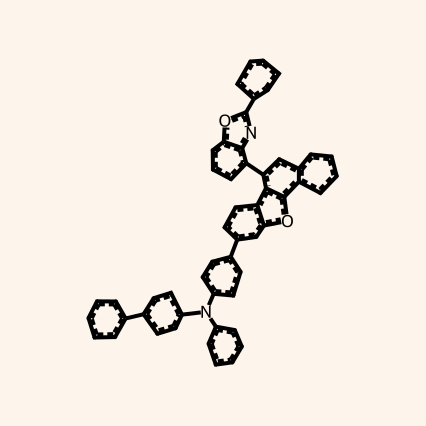 c1ccc(-c2ccc(N(c3ccccc3)c3ccc(-c4ccc5c(c4)oc4c6ccccc6cc(-c6cccc7oc(-c8ccccc8)nc67)c54)cc3)cc2)cc1